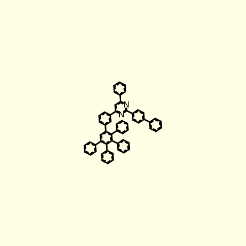 c1ccc(-c2ccc(-c3nc(-c4ccccc4)cc(-c4cccc(-c5cc(-c6ccccc6)c(-c6ccccc6)c(-c6ccccc6)c5-c5ccccc5)c4)n3)cc2)cc1